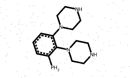 Pc1cccc(N2CCNCC2)c1N1CCNCC1